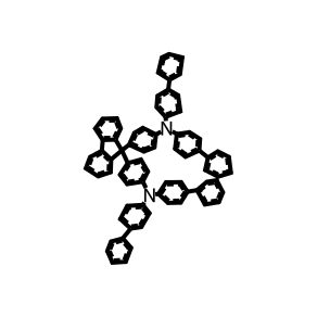 c1ccc(-c2ccc(N(c3ccc(-c4ccccc4)cc3)c3ccc(C4(c5ccc(N(c6ccc(-c7ccccc7)cc6)c6ccc(-c7ccccc7)cc6)cc5)c5ccccc5-c5ccccc54)cc3)cc2)cc1